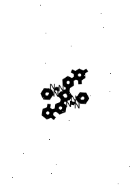 Cc1cc(C)c(-c2ccc3c(c2)c2c4c5c(c6cc(-c7c(C)cccc7C)ccc6n5c5nc6ccccc6n45)c4c2n3c2nc3ccccc3n42)c(C)c1